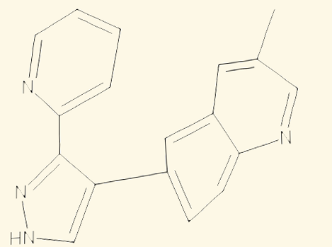 Cc1cnc2ccc(-c3c[nH]nc3-c3ccccn3)cc2c1